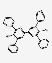 Oc1c(-c2ccccc2)cc(-c2cc(-c3ccccc3)c(O)c(-c3ccccc3)c2)cc1-c1ccccc1